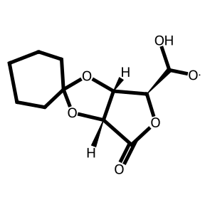 [O]C(O)[C@H]1OC(=O)[C@@H]2OC3(CCCCC3)O[C@H]12